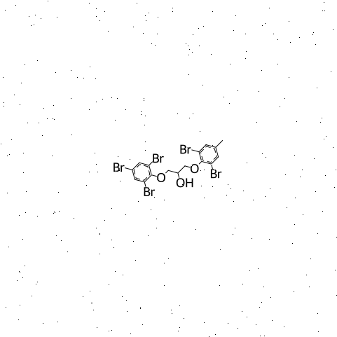 Cc1cc(Br)c(OCC(O)COc2c(Br)cc(Br)cc2Br)c(Br)c1